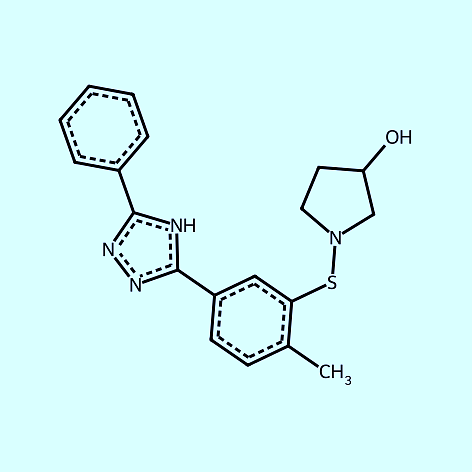 Cc1ccc(-c2nnc(-c3ccccc3)[nH]2)cc1SN1CCC(O)C1